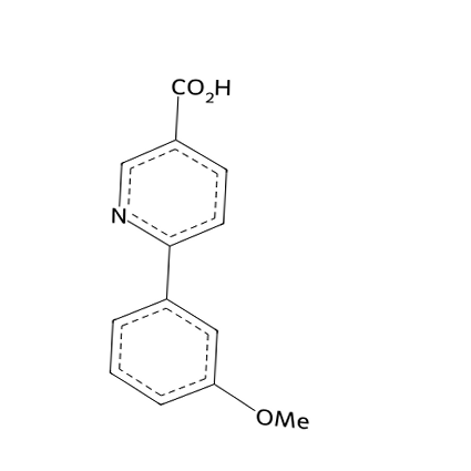 COc1cccc(-c2ccc(C(=O)O)cn2)c1